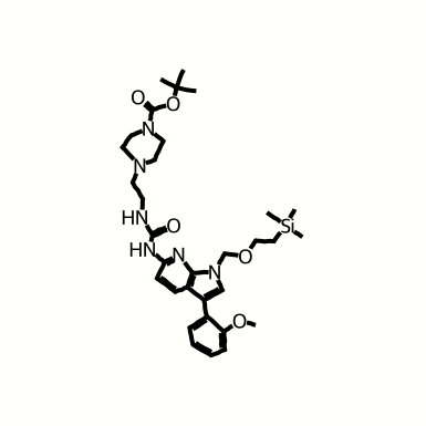 COc1ccccc1-c1cn(COCC[Si](C)(C)C)c2nc(NC(=O)NCCN3CCN(C(=O)OC(C)(C)C)CC3)ccc12